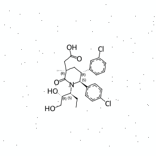 CC[C@@H]([C@@H](O)CO)N1C(=O)[C@@](C)(CC(=O)O)C[C@H](c2cccc(Cl)c2)[C@H]1c1ccc(Cl)cc1